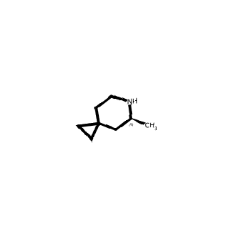 C[C@H]1CC2(CCN1)CC2